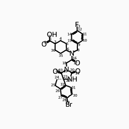 O=C(O)C1CCC(N(Cc2ccc(F)cc2)C(=O)CN2C(=O)N[C@]3(CCc4cc(Br)ccc43)C2=O)CC1